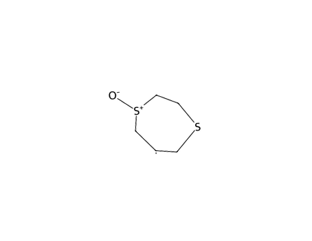 [O-][S+]1C[CH]CSCC1